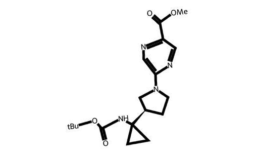 COC(=O)c1cnc(N2CC[C@@H](C3(NC(=O)OC(C)(C)C)CC3)C2)cn1